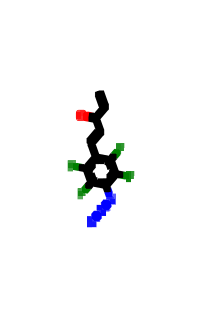 C=CC(=O)C=Cc1c(F)c(F)c(N=[N+]=[N-])c(F)c1F